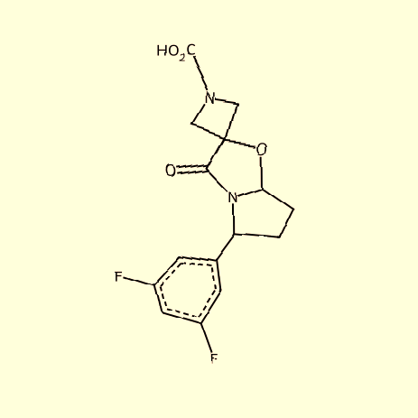 O=C(O)N1CC2(C1)OC1CCC(c3cc(F)cc(F)c3)N1C2=O